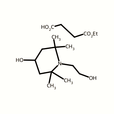 CC1(C)CC(O)CC(C)(C)N1CCO.CCOC(=O)CCC(=O)O